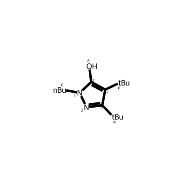 CCCCn1nc(C(C)(C)C)c(C(C)(C)C)c1O